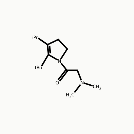 CC(C)C1=C(C(C)(C)C)N(C(=O)CN(C)C)CC1